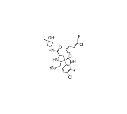 C=C(/C=C\C=C(\Cl)CF)[C@H]1[C@H](C(=O)N[C@H]2C[C@@](C)(O)C2)N[C@H](CC(C)(C)C)[C@]12C(=O)Nc1c2ccc(Cl)c1F